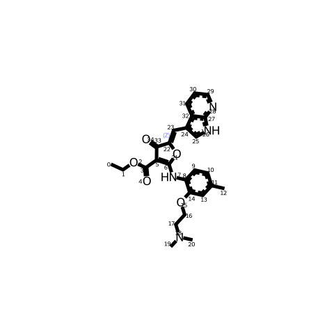 CCOC(=O)C1=C(Nc2ccc(C)cc2OCCN(C)C)O/C(=C\c2c[nH]c3ncccc23)C1=O